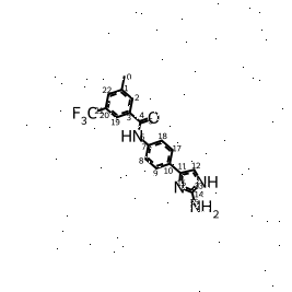 Cc1cc(C(=O)Nc2ccc(-c3c[nH]c(N)n3)cc2)cc(C(F)(F)F)c1